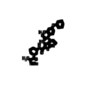 CNC(C)C(=O)N1CCCC(NC(=O)c2sc3nccc4c3c2NC(=O)N4c2ccc(Oc3ccccc3)cc2C)C1